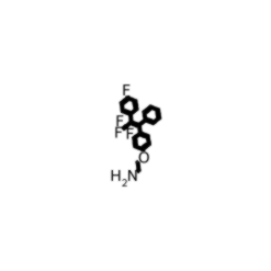 NCCOc1ccc(C(=C(c2ccc(F)cc2)C(F)(F)F)c2ccccc2)cc1